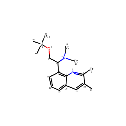 CCc1nc2c(C(CO[Si](C)(C)C(C)(C)C)N(CC)CC)cccc2cc1C